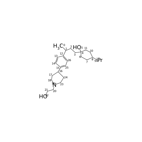 CC(CCC1(O)CCC(C(C)C)CC1)c1ccc(C2CCN(CCO)CC2)cc1